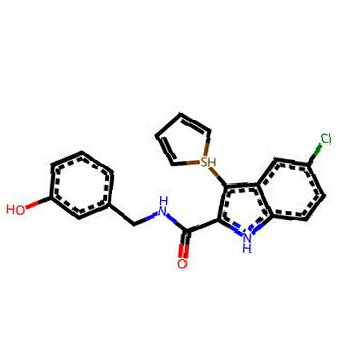 O=C(NCc1cccc(O)c1)c1[nH]c2ccc(Cl)cc2c1[SH]1C=CC=C1